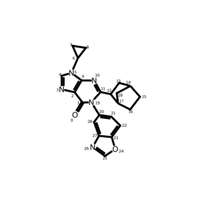 O=c1c2ncn(C3CC3)c2nc(C2CC3CCC2C3)n1-c1ccc2ocnc2c1